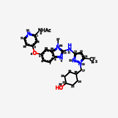 CC(=O)Nc1cc(Oc2ccc3nc(Nc4cc(C(F)(F)F)n(CC5CCC(O)CC5)n4)n(C)c3c2)ccn1